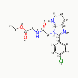 CCOC(=O)CNC(=O)Cn1c(-c2ccc(Cl)cc2)nc2cccnc21